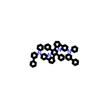 c1ccc(-c2cccc(N(c3ccccc3)c3ccc4c5cccc6c7c(-c8ccccc8)c8c(c(-c9ccccc9)c7n(c4c3)c56)c3cccc4c5ccc(N(c6ccccc6)c6cccc(-c7ccccc7)c6)cc5n8c43)c2)cc1